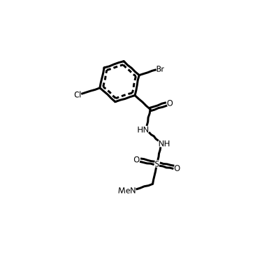 CNCS(=O)(=O)NNC(=O)c1cc(Cl)ccc1Br